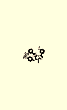 COc1cccc(-c2cnc(N[C@@H](Cc3ccc(NS(=O)(=O)O)cc3)c3csc(-c4ccccc4)n3)o2)c1